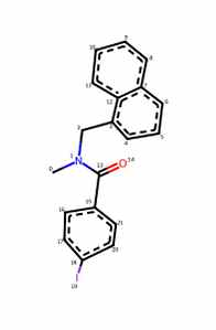 CN(Cc1cccc2ccccc12)C(=O)c1ccc(I)cc1